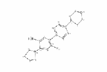 Nc1cc(-c2cnc(N3CCOCC3)nc2)c(F)cc1N1C[CH]CC1